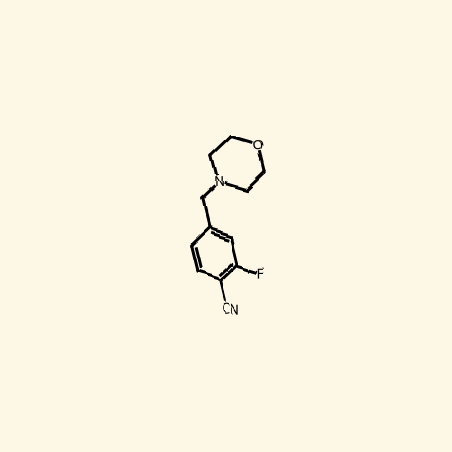 N#Cc1ccc(CN2CCOCC2)cc1F